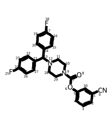 N#Cc1cccc(OC(=O)N2CCN(C(c3ccc(F)cc3)c3ccc(F)cc3)CC2)c1